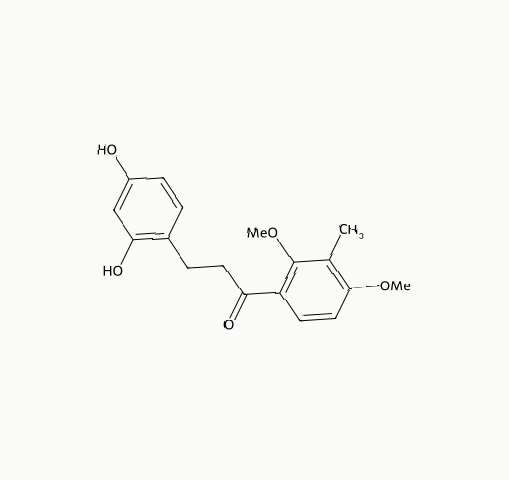 COc1ccc(C(=O)CCc2ccc(O)cc2O)c(OC)c1C